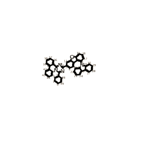 c1ccc(-c2nc(-c3ccc4c(c3)oc3cccc(-n5c6ccccc6c6ccccc65)c34)nc(-c3ccccc3-c3ccccc3)n2)cc1